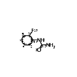 NC(=O)Nc1ccc[c]c1F